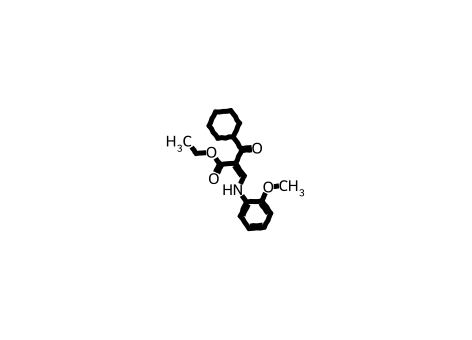 CCOC(=O)C(=CNc1ccccc1OC)C(=O)C1CCCCC1